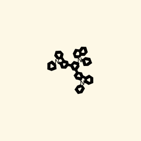 c1ccc(N(c2cc(-c3ccc4c(c3)c3ccccc3n4-c3ccccc3)cc(-c3ccc4c(c3)c3ccccc3n4-c3ccccc3)c2)c2cccc3ccccc23)cc1